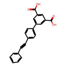 O=C(O)c1cc(C(=O)O)cc(-c2ccc(C#Cc3ccccc3)cc2)c1